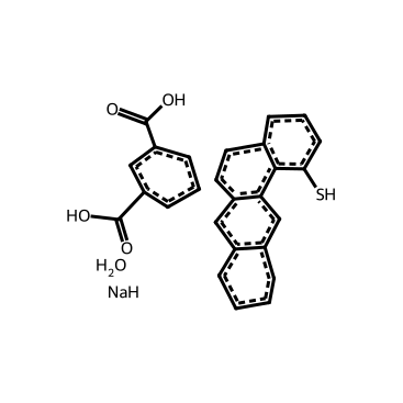 O.O=C(O)c1cccc(C(=O)O)c1.Sc1cccc2ccc3cc4ccccc4cc3c12.[NaH]